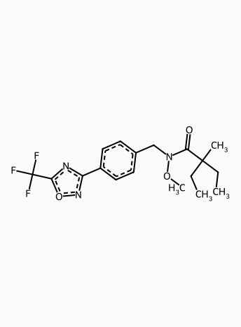 CCC(C)(CC)C(=O)N(Cc1ccc(-c2noc(C(F)(F)F)n2)cc1)OC